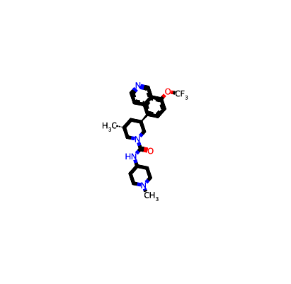 C[C@@H]1C[C@@H](c2ccc(OC(F)(F)F)c3cnccc23)CN(C(=O)NC2CCN(C)CC2)C1